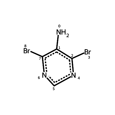 Nc1c(Br)ncnc1Br